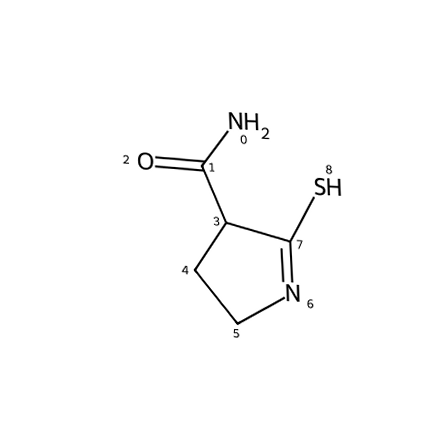 NC(=O)C1CCN=C1S